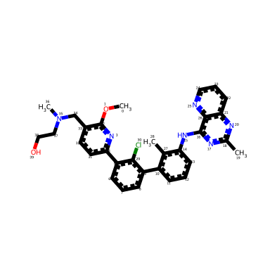 COc1nc(-c2cccc(-c3cccc(Nc4nc(C)nc5cccnc45)c3C)c2Cl)ccc1CN(C)CCO